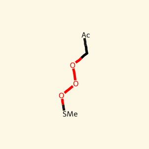 CSOOOCC(C)=O